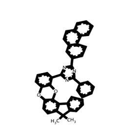 CC1(C)c2ccccc2-c2c1ccc1c2Oc2c(cccc2-c2nc(-c3ccccc3)nc(-c3ccc4c(ccc5ccccc54)c3)n2)O1